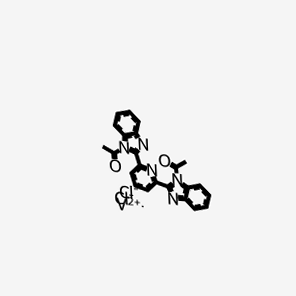 CC(=O)n1c(-c2cccc(-c3nc4ccccc4n3C(C)=O)n2)nc2ccccc21.[Cl-].[Cl-].[V+2]